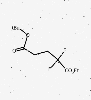 CCOC(=O)C(F)(F)CCC(=O)OC(C)(C)C